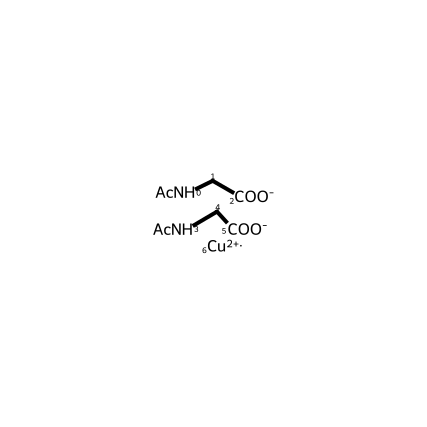 CC(=O)NCC(=O)[O-].CC(=O)NCC(=O)[O-].[Cu+2]